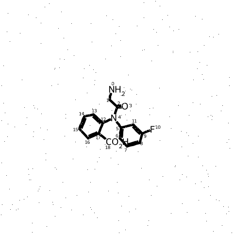 NCC(=O)N(c1cccc(F)c1)c1ccccc1C(=O)O